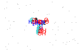 CCCCC(NC(=O)[C@@H](CCC(F)(F)F)NC(=O)[C@H](N)Cc1ccccc1)C(=O)N1CCC(C(=O)OC)CC1.O=C(O)C(F)(F)F.O=C(O)C(F)(F)F.O=C(O)C(F)(F)F